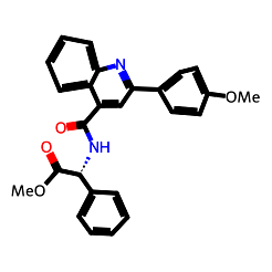 COC(=O)[C@H](NC(=O)c1cc(-c2ccc(OC)cc2)nc2ccccc12)c1ccccc1